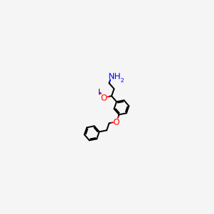 NCCC(OI)c1cccc(OCCc2ccccc2)c1